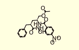 CC(=O)OC[C@H](C[C@H](Cc1ccccc1)C(=O)NO)NC(=O)c1ccc([N+](=O)[O-])cc1